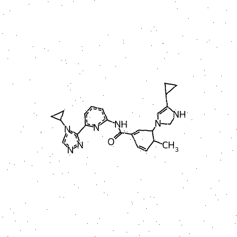 CC1C=CC(C(=O)Nc2cccc(-c3nncn3C3CC3)n2)=CC1N1C=C(C2CC2)NC1